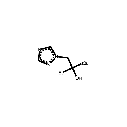 CCC(O)(Cn1cncn1)C(C)(C)C